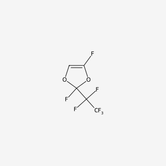 FC1=COC(F)(C(F)(F)C(F)(F)F)O1